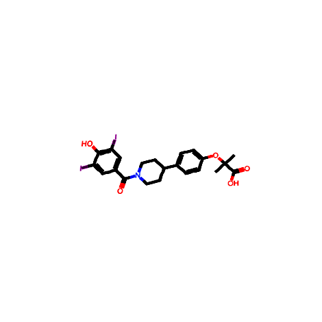 CC(C)(Oc1ccc(C2CCN(C(=O)c3cc(I)c(O)c(I)c3)CC2)cc1)C(=O)O